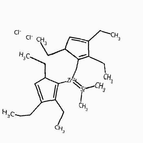 CCC1=CC(CC)[C]([Zr+2]([C]2=C(CC)C(CC)=CC2CC)=[Si](C)C)=C1CC.[Cl-].[Cl-]